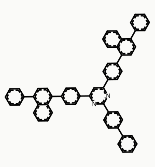 c1ccc(-c2ccc(-c3nc(-c4ccc(-c5ccc(-c6ccccc6)c6ccccc56)cc4)cc(-c4ccc(-c5ccc(-c6ccccc6)c6ccccc56)cc4)n3)cc2)cc1